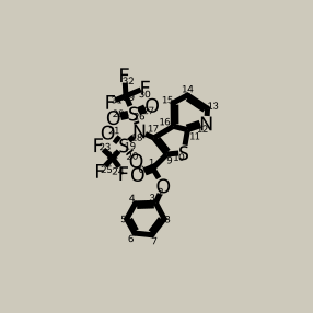 O=C(Oc1ccccc1)c1sc2ncccc2c1N(S(=O)(=O)C(F)(F)F)S(=O)(=O)C(F)(F)F